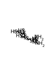 Nc1nc(N)nc(SCCSCC(CS)SC(CS)CSCCS)n1